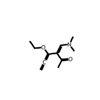 C=C=C(OCC)/C(=C/N(C)C)C(C)=O